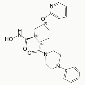 O=C(NO)[C@H]1C[C@H](Oc2ccccn2)CC[C@@H]1C(=O)N1CCN(c2ccccc2)CC1